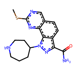 CSc1ncc2ccc3c(C(N)=O)nn(C4CCCNCC4)c3c2n1